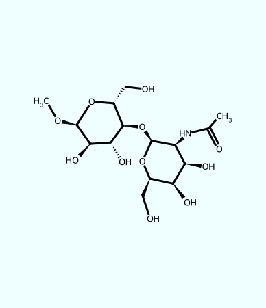 CO[C@H]1O[C@H](CO)[C@@H](O[C@@H]2O[C@H](CO)[C@H](O)[C@H](O)[C@@H]2NC(C)=O)[C@H](O)[C@H]1O